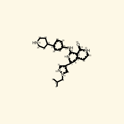 CC(C)Cn1cc(-c2cc3cc[nH]c(=O)c3c(Nc3ccc(C4CCNCC4)cc3)n2)cn1